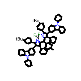 Cc1cc(C)c(/C(=C2/N=C(c3ccc(C(C)(C)C)cc3)C(c3ccc4c(c3)c3ccccc3n4-c3ccccc3)=C2c2ccccc2)c2c(-c3ccccc3)c(-c3ccc4c(c3)c3ccccc3n4-c3ccccc3)c(-c3ccc(C(C)(C)C)cc3)n2B(F)F)c(C)c1